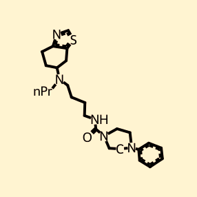 CCCN(CCCCNC(=O)N1CCN(c2ccccc2)CC1)C1CCc2ncsc2C1